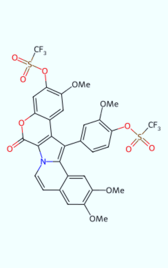 COc1cc2ccn3c(c(-c4ccc(OS(=O)(=O)C(F)(F)F)c(OC)c4)c4c5cc(OC)c(OS(=O)(=O)C(F)(F)F)cc5oc(=O)c43)c2cc1OC